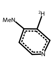 [2H]c1cnccc1NC